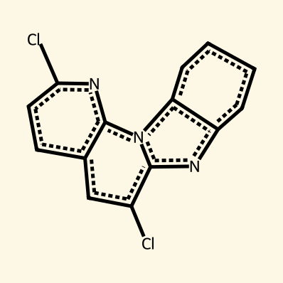 Clc1ccc2cc(Cl)c3nc4ccccc4n3c2n1